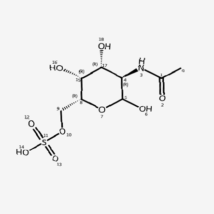 CC(=O)N[C@H]1C(O)O[C@H](COS(=O)(=O)O)[C@H](O)[C@@H]1O